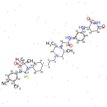 C[C@@H]1CN(CCC[C@H]2CC[C@H](N3C(=S)N(c4ccc(C#N)c(C(F)(F)F)c4)C(=O)C3(C)C)CC2)C[C@H](C)N1CC(=O)Nc1cccc(N[C@@H]2CCC(=O)NC2=O)c1